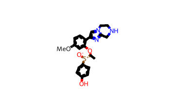 COc1ccc(-c2cn3c(n2)CNCC3)c(OC(C)[S+]([O-])c2ccc(O)cc2)c1